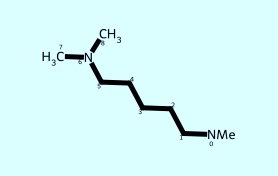 CNCCCCCN(C)C